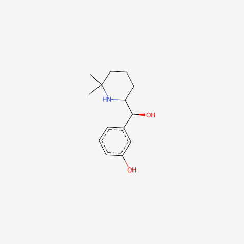 CC1(C)CCCC([C@@H](O)c2cccc(O)c2)N1